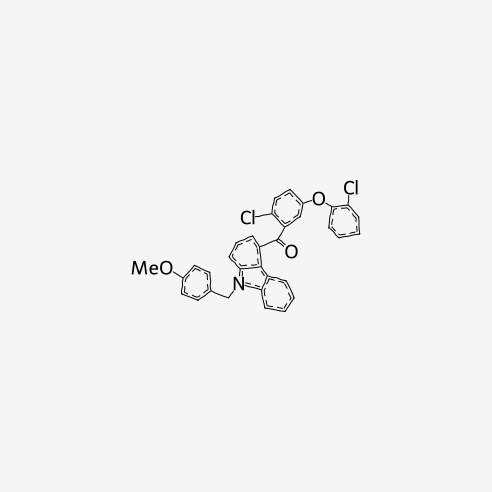 COc1ccc(Cn2c3ccccc3c3c(C(=O)c4cc(Oc5ccccc5Cl)ccc4Cl)cccc32)cc1